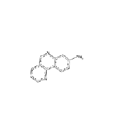 Nc1ccc2c(c1)ncc1cccnc12